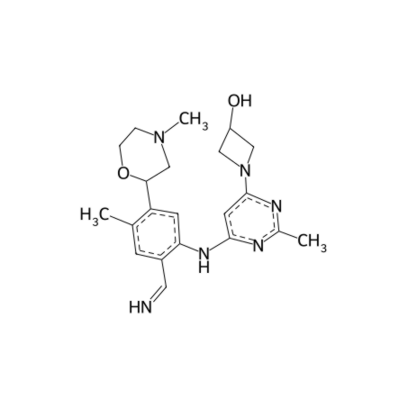 Cc1nc(Nc2cc(C3CN(C)CCO3)c(C)cc2C=N)cc(N2CC(O)C2)n1